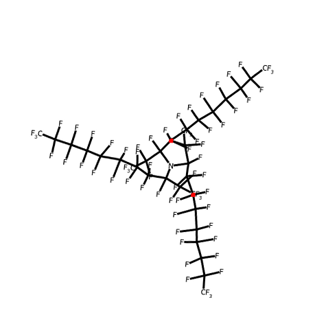 FC(F)(F)C(F)(F)C(F)(F)C(F)(F)C(F)(F)C(F)(F)C(F)(F)C(F)(F)C(F)(N(C(F)(C(F)(F)C(F)(F)F)C(F)(F)C(F)(F)C(F)(F)C(F)(F)C(F)(F)C(F)(F)C(F)(F)C(F)(F)F)C(F)(C(F)(F)C(F)(F)F)C(F)(F)C(F)(F)C(F)(F)C(F)(F)C(F)(F)C(F)(F)C(F)(F)C(F)(F)F)C(F)(F)C(F)(F)F